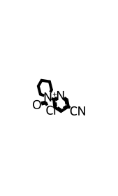 N#Cc1ccc([N+]2(C(=O)Cl)CCCCC2)nc1